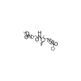 Cc1c(CN2CCN(C(=O)C3CCCC3)[C@@H](C)C2)cc(F)cc1NC(=O)CC1CCN(C(=O)OC(C)(C)C)C1